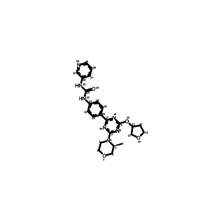 C[C@H]1COCCN1c1nc(OC2CCOC2)nc(-c2ccc(NC(=O)Nc3cccnc3)cc2)n1